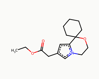 CCOC(=O)Cc1cc2n(c1)CCOC21CCCCC1